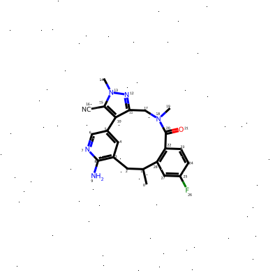 CC1Cc2cc(cnc2N)-c2c(nn(C)c2C#N)CN(C)C(=O)c2ccc(F)cc21